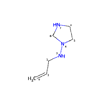 C=CCNN1CCNC1